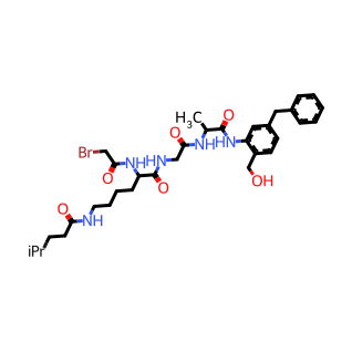 CC(C)CCC(=O)NCCCCC(NC(=O)CBr)C(=O)NCC(=O)NC(C)C(=O)Nc1cc(Cc2ccccc2)ccc1CO